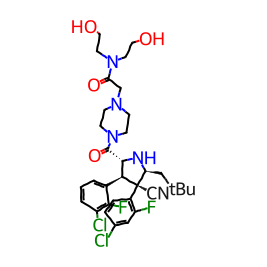 CC(C)(C)C[C@@H]1N[C@@H](C(=O)N2CCN(CC(=O)N(CCO)CCO)CC2)[C@H](c2cccc(Cl)c2F)[C@@]1(C#N)c1ccc(Cl)cc1F